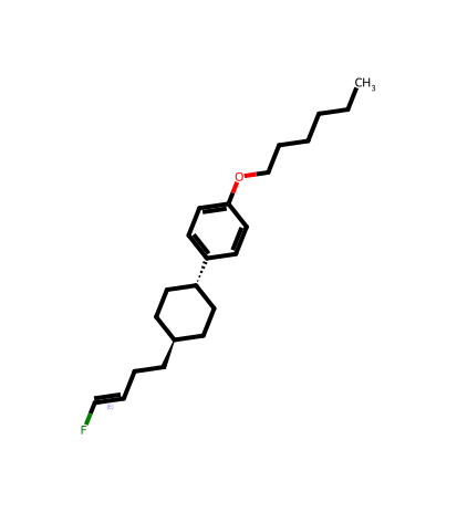 CCCCCCOc1ccc([C@H]2CC[C@H](CC/C=C/F)CC2)cc1